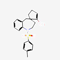 Cc1ccc(S(=O)(=O)N2CCC3(CCC=C3O)Cc3ccccc32)cc1